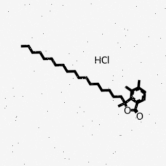 CCCCCCCCCCCCCCCCCCC1(C)OC(=O)c2ccc(C)c(C)c21.Cl